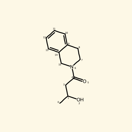 CC(O)CC(=O)N1CCc2ccccc2C1